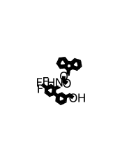 O=C(NCc1cc(C(F)(F)F)ccc1-c1cccc(CO)c1)OCC1c2ccccc2-c2ccccc21